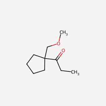 CCC(=O)C1(COC)CCCC1